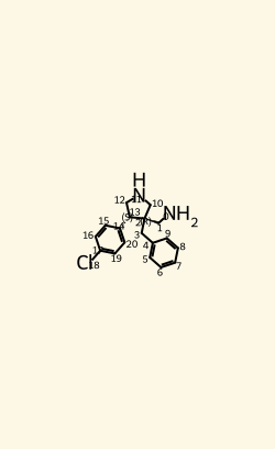 NC[C@]1(Cc2ccccc2)CNC[C@H]1c1ccc(Cl)cc1